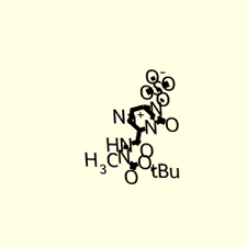 CN(NC(=O)C1CCC2CN1C(=O)N2OS(=O)(=O)[O-])C(=O)OC(C)(C)C.[Na+]